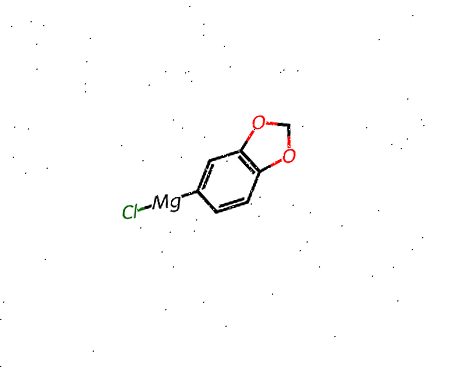 [Cl][Mg][c]1ccc2c(c1)OCO2